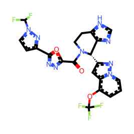 O=C(c1nnc(-c2ccn(C(F)F)n2)o1)N1CCc2[nH]cnc2[C@@H]1c1cc2c(OC(F)(F)F)cccn2n1